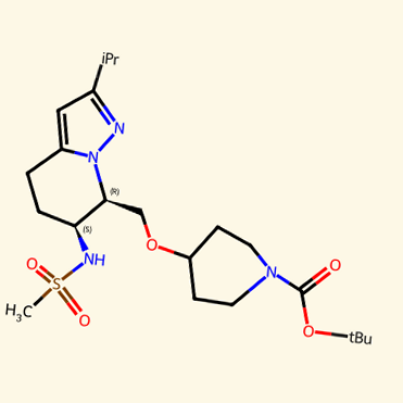 CC(C)c1cc2n(n1)[C@@H](COC1CCN(C(=O)OC(C)(C)C)CC1)[C@@H](NS(C)(=O)=O)CC2